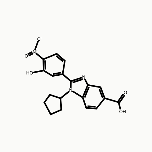 O=C(O)c1ccc2c(c1)nc(-c1ccc([N+](=O)[O-])c(O)c1)n2C1CCCC1